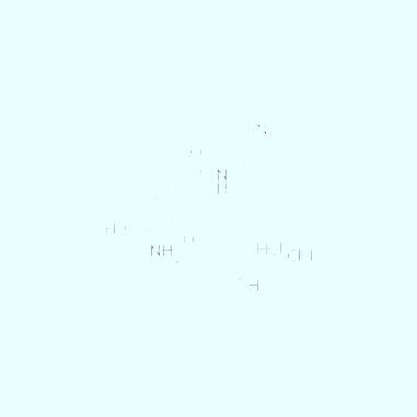 CC(N)c1ccc(C(=O)Nc2ccncc2)cc1OCCCO.Cl.Cl